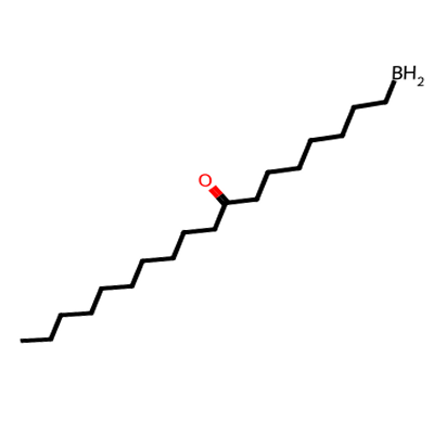 BCCCCCCCC(=O)CCCCCCCCCC